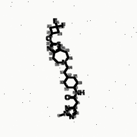 Cn1ncc(CC(=O)NC2CCC(CCN3CCc4nc(OC5CC(F)(F)C5)sc4CC3)CC2)n1